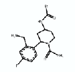 CCC(=O)NC1CCN(C(N)=O)C(c2ccc(F)cc2CN)C1